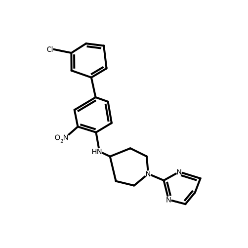 O=[N+]([O-])c1cc(-c2cccc(Cl)c2)ccc1NC1CCN(c2ncccn2)CC1